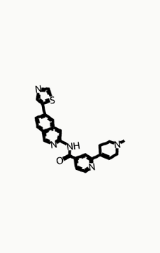 CN1CC=C(c2cc(C(=O)Nc3cc4cc(-c5cncs5)ccc4cn3)ccn2)CC1